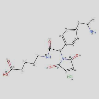 CC(N)Cc1ccc(C(C(=O)NCCCCC(=O)O)N2C(=O)C=CC2=O)cc1.Cl